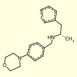 C[C@@H](Cc1ccccc1)NCc1ccc(N2CCOCC2)cc1